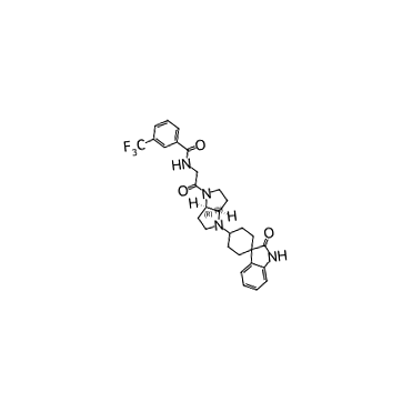 O=C(NCC(=O)N1CC[C@@H]2[C@H]1CCN2C1CCC2(CC1)C(=O)Nc1ccccc12)c1cccc(C(F)(F)F)c1